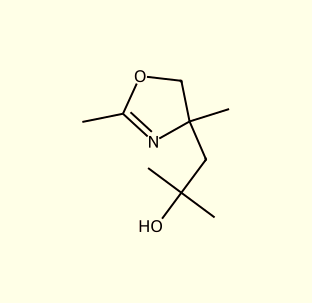 CC1=NC(C)(CC(C)(C)O)CO1